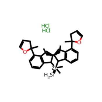 CCC1=Cc2c(cccc2C2(C)CC=CO2)[CH]1[Zr]([CH3])([CH3])(=[SiH2])[CH]1C(CC)=Cc2c1cccc2C1(C)CC=CO1.Cl.Cl